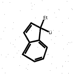 [Li][C]1(CC)C=Cc2ccccc21